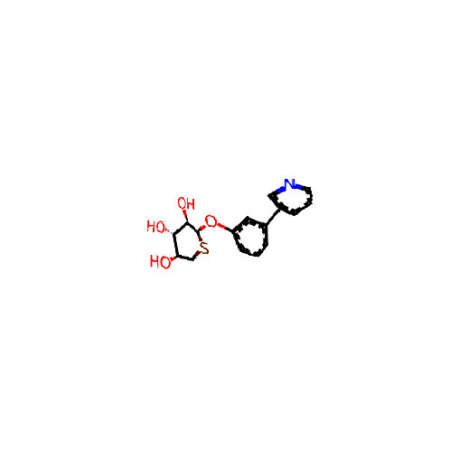 O[C@@H]1[C@@H](O)[C@@H](Oc2cccc(-c3cccnc3)c2)SC[C@H]1O